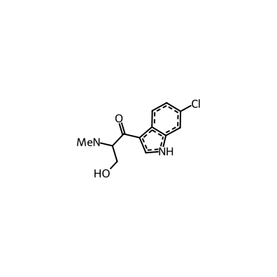 CNC(CO)C(=O)c1c[nH]c2cc(Cl)ccc12